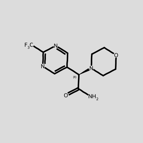 NC(=O)[C@@H](c1cnc(C(F)(F)F)nc1)N1CCOCC1